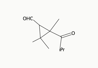 CC(C)C(=O)C1(C)C(C=O)C1(C)C